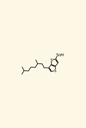 CC(C)CCCC(C)CCc1csc2c[c]([SnH])sc12